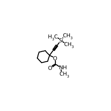 CNC(=O)OC1(C#C[Si](C)(C)C)CCCCC1